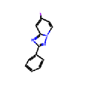 Ic1ccn2nc(-c3ccccc3)nc2c1